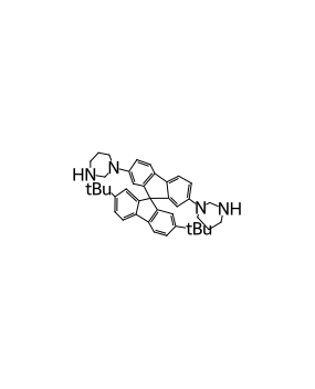 CC(C)(C)c1ccc2c(c1)C1(c3cc(N4CCCNC4)ccc3-c3ccc(N4CCCNC4)cc31)c1cc(C(C)(C)C)ccc1-2